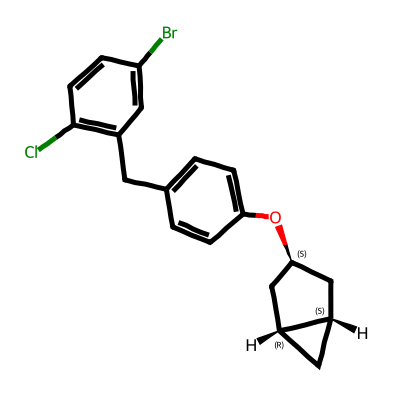 Clc1ccc(Br)cc1Cc1ccc(O[C@H]2C[C@@H]3C[C@@H]3C2)cc1